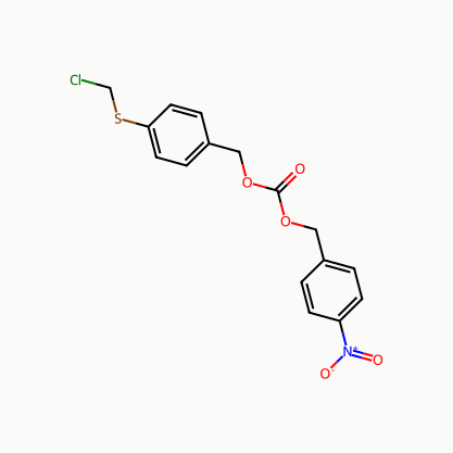 O=C(OCc1ccc(SCCl)cc1)OCc1ccc([N+](=O)[O-])cc1